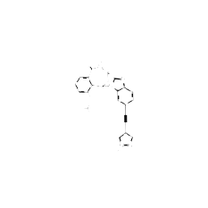 CC(C)N1C(=O)c2cccc(OC(F)F)c2[C@H]2C[C@@H]1c1nc3ccc(C#Cc4cnn(C)c4)cc3n12